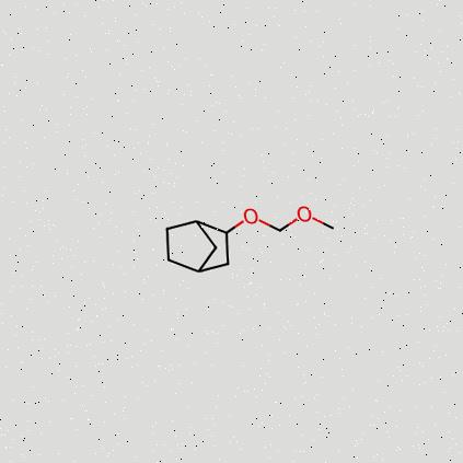 COCOC1CC2CCC1C2